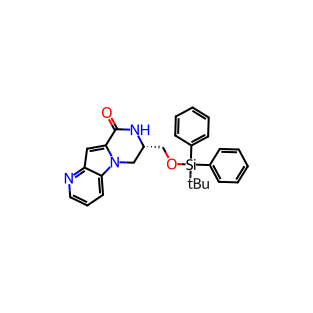 CC(C)(C)[Si](OC[C@@H]1Cn2c(cc3ncccc32)C(=O)N1)(c1ccccc1)c1ccccc1